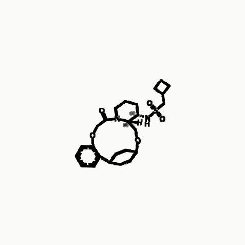 O=C1COc2ccccc2C2CCC(CC2)OC[C@H]2[C@@H](NS(=O)(=O)CC3CCC3)CCCN12